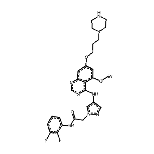 CC(C)Oc1cc(OCCCN2CCNCC2)cc2ncnc(Nc3cnn(CC(=O)Nc4cccc(F)c4F)c3)c12